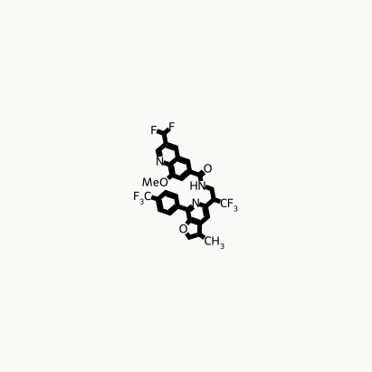 COc1cc(C(=O)NCC(c2cc3c(c(-c4ccc(C(F)(F)F)cc4)n2)OCC3C)C(F)(F)F)cc2cc(C(F)F)cnc12